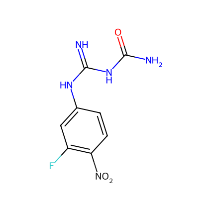 N=C(NC(N)=O)Nc1ccc([N+](=O)[O-])c(F)c1